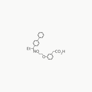 CC/C(=N/OCCOc1cccc(CC(=O)O)c1)c1ccc(-c2ccccc2)cc1